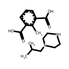 CC(C)CN1CCNCC1.Cc1c(C(=O)O)cccc1C(=O)O